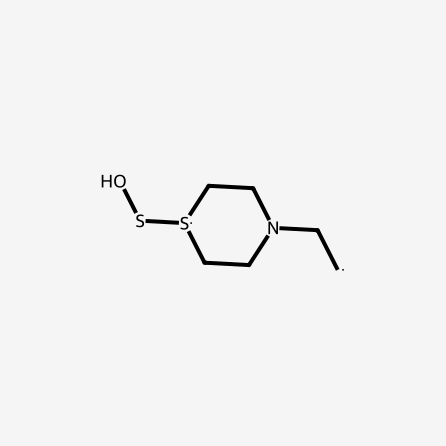 [CH2]CN1CC[S](SO)CC1